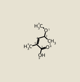 COC(C)C=C(C)C(=O)O